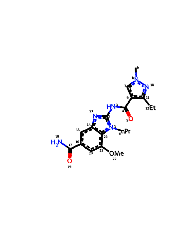 CCCn1c(NC(=O)c2cn(C)nc2CC)nc2cc(C(N)=O)cc(OC)c21